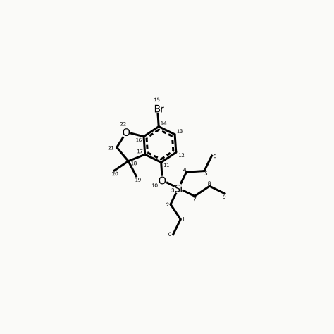 CCC[Si](CCC)(CCC)Oc1ccc(Br)c2c1C(C)(C)CO2